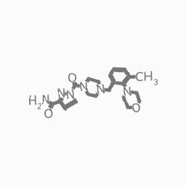 Cc1cccc(CN2CCN(C(=O)n3ccc(C(N)=O)n3)CC2)c1N1CCOCC1